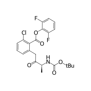 C[C@H](NC(=O)OC(C)(C)C)C(=O)Cc1cccc(Cl)c1C(=O)Oc1c(F)cccc1F